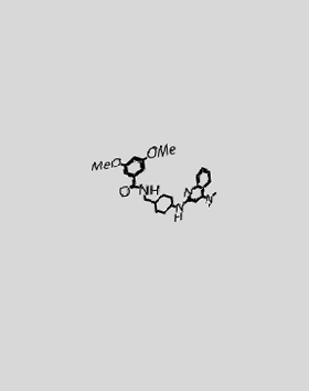 COc1cc(OC)cc(C(=O)NCC2CCC(Nc3cc(N(C)C)c4ccccc4n3)CC2)c1